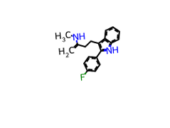 C=C(CCc1c(-c2ccc(F)cc2)[nH]c2ccccc12)NC